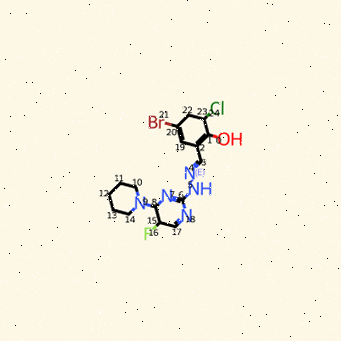 OC1=C(/C=N/NC2=NC(N3CCCCC3)C(F)C=N2)C=C(Br)CC1Cl